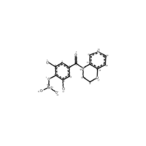 O=C(c1cc(Cl)c(O[Br+2]([O-])[O-])c(Cl)c1)N1CCOc2ccncc21